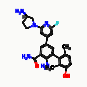 Cc1ccc(O)c(C)c1-c1cc(-c2cc(F)nc(N3CC[C@@H](N)C3)c2)cc(C(N)=O)c1N